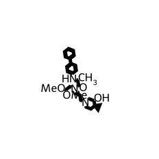 COC(CN(CCCN1CCC2(CC2)C(O)C1)C(=O)C(C)Nc1ccc(-c2ccccc2)cc1)OC